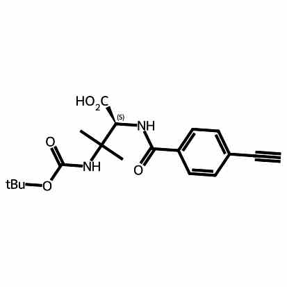 C#Cc1ccc(C(=O)N[C@H](C(=O)O)C(C)(C)NC(=O)OC(C)(C)C)cc1